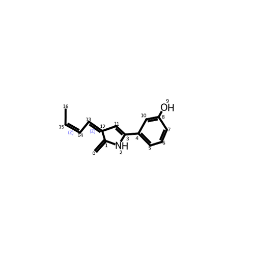 C=c1[nH]c(-c2cccc(O)c2)c/c1=C/C=C\C